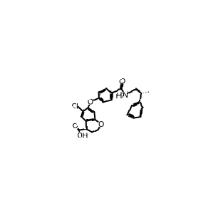 C[C@@H](CNC(=O)c1ccc(Oc2cc3c(cc2Cl)C(C(=O)O)CCO3)cc1)c1ccccc1